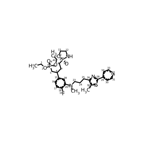 CCOP(=O)(CC(CCP1(=O)NCCO1)c1ccc(F)c(N(C)CCCc2nc(-c3ccncc3)sc2C)c1)OCC